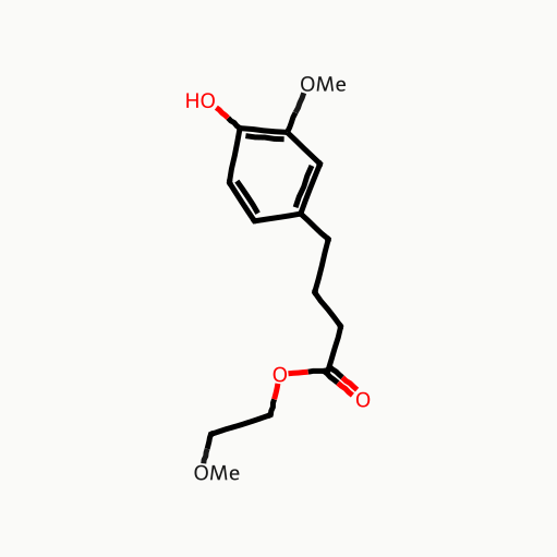 COCCOC(=O)CCCc1ccc(O)c(OC)c1